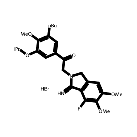 Br.CCCCc1cc(C(=O)CN2Cc3cc(OC)c(OC)c(F)c3C2=N)cc(OC(C)C)c1OC